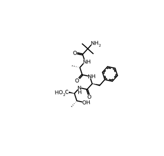 C[C@H](NC(=O)C(C)(C)N)C(=O)N[C@@H](Cc1ccccc1)C(=O)N[C@H](C(=O)O)[C@@H](C)O